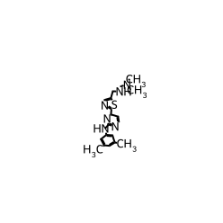 Cc1cc(C)cc(Nc2nccc(-c3ncc(CNCN(C)C)s3)n2)c1